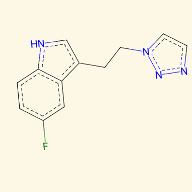 Fc1ccc2[nH]cc(CCn3ccnn3)c2c1